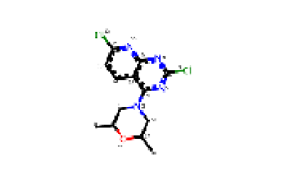 CC1CN(c2nc(Cl)nc3nc(Cl)ccc23)CC(C)O1